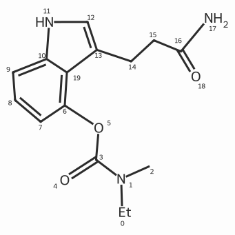 CCN(C)C(=O)Oc1cccc2[nH]cc(CCC(N)=O)c12